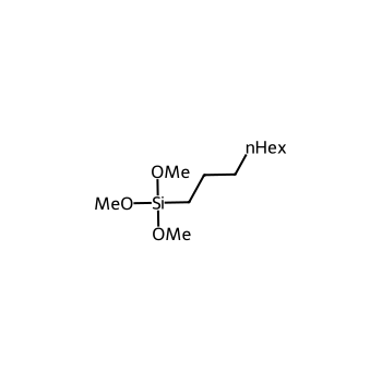 CCCCCCCCC[Si](OC)(OC)OC